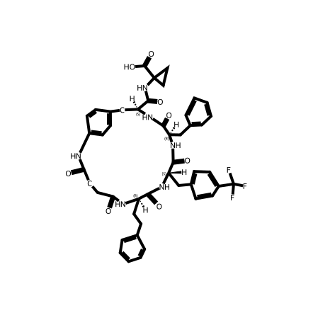 O=C1CCC(=O)N[C@H](CCc2ccccc2)C(=O)N[C@@H](Cc2ccc(C(F)(F)F)cc2)C(=O)N[C@H](Cc2ccccc2)C(=O)N[C@H](C(=O)NC2(C(=O)O)CC2)Cc2ccc(cc2)N1